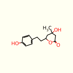 CC1(O)CC(=O)OC(CCc2ccc(O)cc2)C1